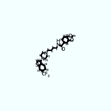 O=C(NCCCCN1CCN(c2csc3cc(C(F)(F)F)ccc23)CC1)c1ccc2c(c1)OCO2